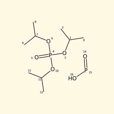 CC(C)OP(=O)(OC(C)C)OC(C)C.O=PO